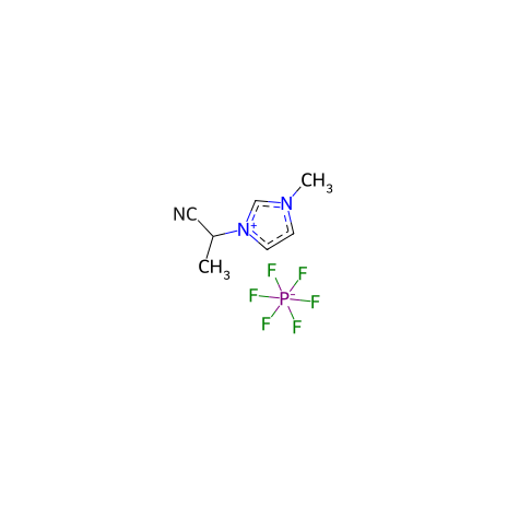 CC(C#N)[n+]1ccn(C)c1.F[P-](F)(F)(F)(F)F